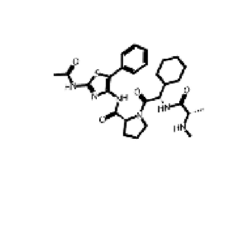 CN[C@@H](C)C(=O)N[C@H](C(=O)N1CCC[C@H]1C(=O)Nc1nc(NC(C)=O)sc1-c1ccccc1)C1CCCCC1